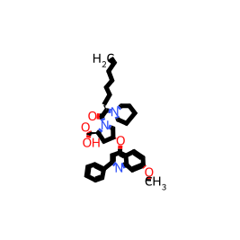 C=CCCCCC[C@@H](C(=O)N1C[C@H](Oc2cc(-c3ccccc3)nc3cc(OC)ccc23)C[C@H]1C(=O)O)N1CCCCC1